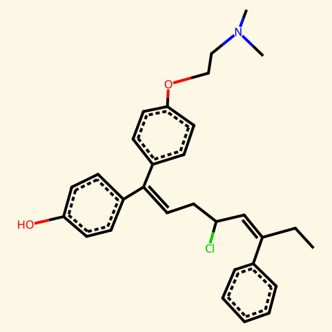 CCC(=CC(Cl)CC=C(c1ccc(O)cc1)c1ccc(OCCN(C)C)cc1)c1ccccc1